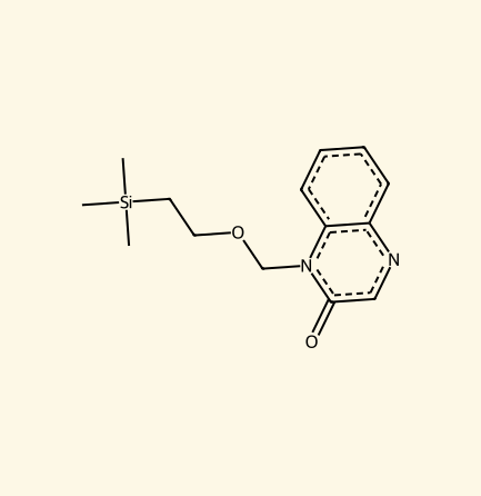 C[Si](C)(C)CCOCn1c(=O)cnc2ccccc21